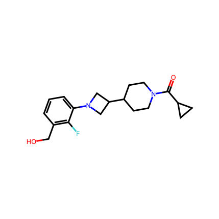 O=C(C1CC1)N1CCC(C2CN(c3cccc(CO)c3F)C2)CC1